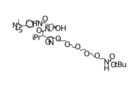 Cc1ncsc1-c1ccc(CNC(=O)[C@@H]2C[C@@H](O)CN2C(=O)C(c2cc(OCCOCCOCCOCCOCCNC(=O)OC(C)(C)C)no2)C(C)C)cc1